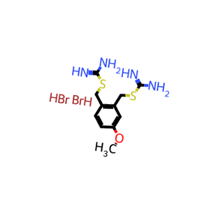 Br.Br.COc1ccc(CSC(=N)N)c(CSC(=N)N)c1